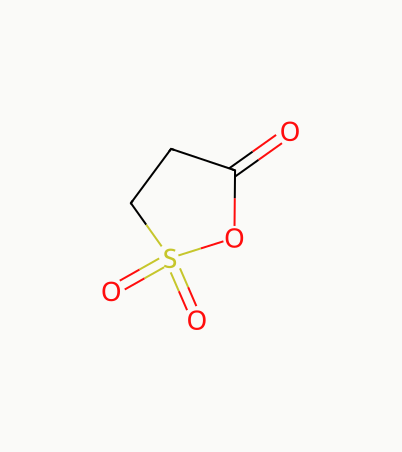 O=C1CCS(=O)(=O)O1